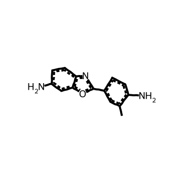 Cc1cc(-c2nc3ccc(N)cc3o2)ccc1N